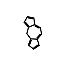 C1=CC2=CC=C3C=CC=C3CC2=C1